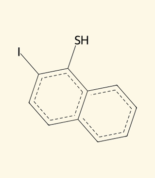 Sc1c(I)ccc2ccccc12